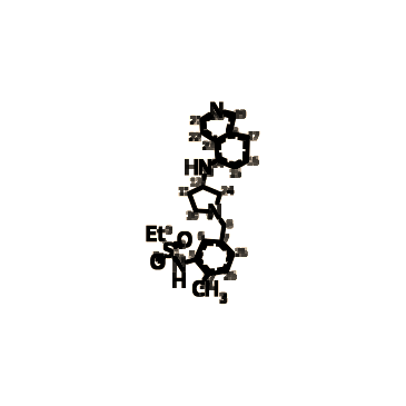 CCS(=O)(=O)Nc1cc(CN2CC[C@@H](Nc3cccc4cnccc34)C2)ccc1C